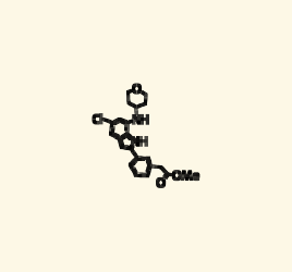 COC(=O)Cc1cccc(-c2cc3cc(Cl)cc(NC4CCOCC4)c3[nH]2)c1